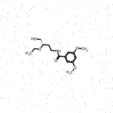 CCO[C@H](CO)CCNC(=O)c1cc(OC)cc(OC)c1